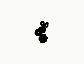 COC(=O)c1ccc2c(B3OC(C)(C)C(C)(C)O3)cccc2c1